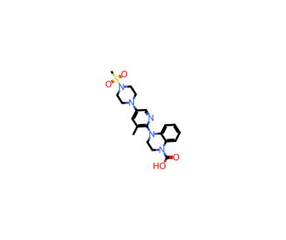 Cc1cc(N2CCN(S(C)(=O)=O)CC2)cnc1N1CCN(C(=O)O)c2ccccc21